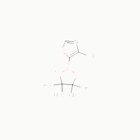 Cc1ncoc1B1OC(C)(C)C(C)(C)O1